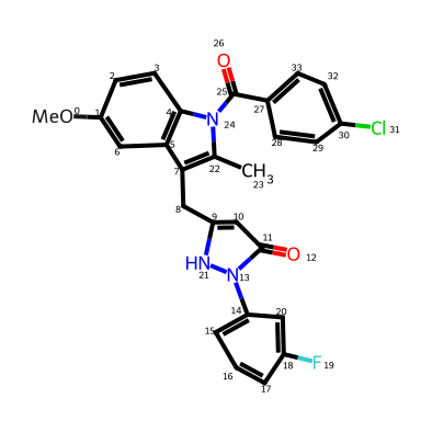 COc1ccc2c(c1)c(Cc1cc(=O)n(-c3cccc(F)c3)[nH]1)c(C)n2C(=O)c1ccc(Cl)cc1